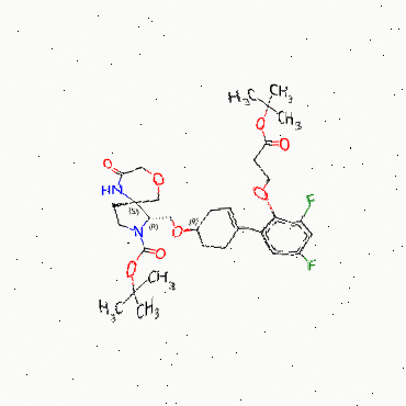 CC(C)(C)OC(=O)CCOc1c(F)cc(F)cc1C1=CC[C@H](OC[C@@H]2N(C(=O)OC(C)(C)C)CC[C@@]23COCC(=O)N3)CC1